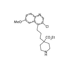 CCOC(=O)C1(CCCc2c(Cl)cnc3ccc(OC)cc23)CCNCC1